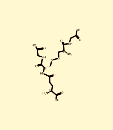 N[C@@H](CCC(=O)N[C@@H](CSSC[C@H](N)C(=O)NCC(=O)O)C(=O)NCC(=O)O)C(=O)O